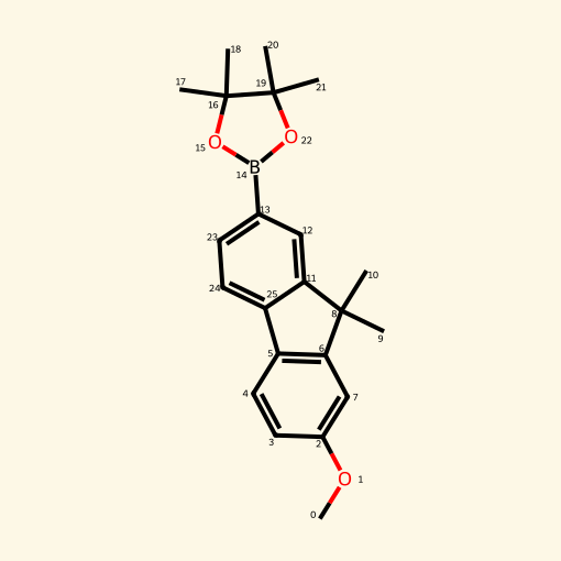 COc1ccc2c(c1)C(C)(C)c1cc(B3OC(C)(C)C(C)(C)O3)ccc1-2